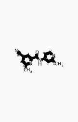 Cc1cc(NC(=O)c2cc(C#N)cc(C)n2)ccn1